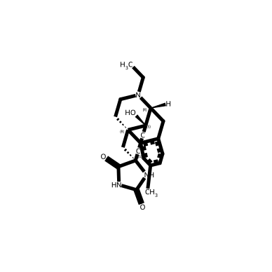 CCN1CC[C@]23C[C@]4(CC[C@@]2(O)[C@H]1Cc1ccc(C)cc13)NC(=O)NC4=O